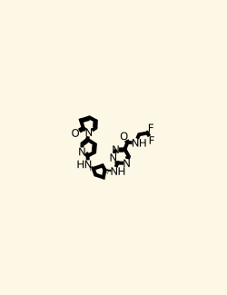 O=C(NCC(F)F)c1cnc(N[C@H]2CC[C@H](Nc3ccc(-n4ccccc4=O)cn3)C2)nn1